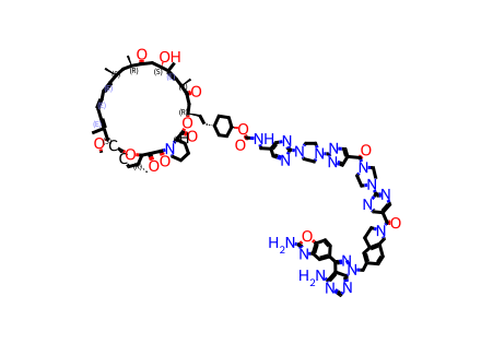 CO[C@H]1CC2CC[C@@H](C)C(O2)C(=O)C(=O)N2CCCC[C@H]2C(=O)O[C@H](CC[C@H]2CC[C@H](OC(=O)NCc3cnc(N4CCN(c5ncc(C(=O)N6CCN(c7ncc(C(=O)N8CCc9cc(Cn%10nc(-c%11ccc%12oc(N)nc%12c%11)c%11c(N)ncnc%11%10)ccc9C8)cn7)CC6)cn5)CC4)nc3)CC2)CC(=O)[C@H](C)/C=C(\C)[C@@H](O)CC(=O)[C@H](C)C[C@H](C)/C=C/C=C/C=C/1C